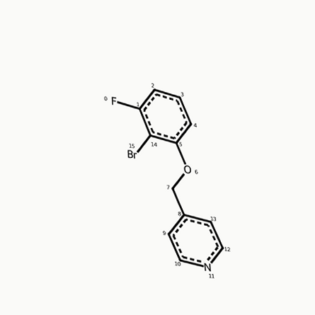 Fc1cccc(OCc2ccncc2)c1Br